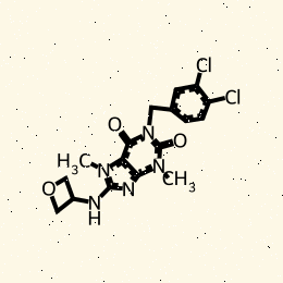 Cn1c(NC2COC2)nc2c1c(=O)n(Cc1ccc(Cl)c(Cl)c1)c(=O)n2C